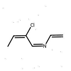 C=C/N=C\C(Cl)=C/C